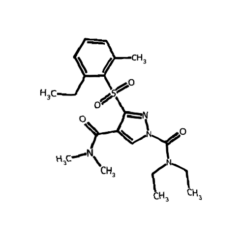 CCc1cccc(C)c1S(=O)(=O)c1nn(C(=O)N(CC)CC)cc1C(=O)N(C)C